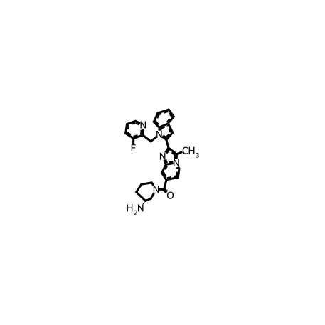 Cc1c(-c2cc3ccccc3n2Cc2ncccc2F)nc2cc(C(=O)N3CCC[C@@H](N)C3)ccn12